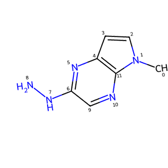 Cn1ccc2nc(NN)cnc21